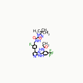 C=CC(=O)Nc1cc(C(F)(F)F)ccc1-c1nc2c(-c3ccc(CNC(=O)c4nc(C(C)(C)C)no4)c(F)c3)ccnc2[nH]1